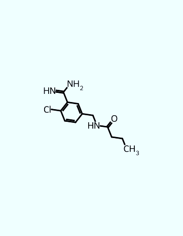 CCCC(=O)NCc1ccc(Cl)c(C(=N)N)c1